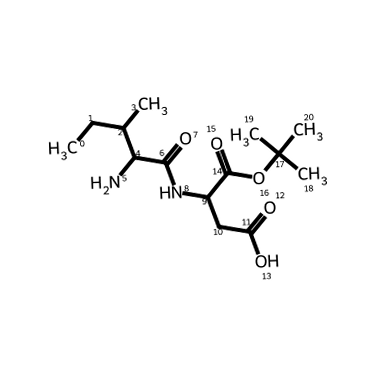 CCC(C)C(N)C(=O)NC(CC(=O)O)C(=O)OC(C)(C)C